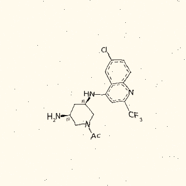 CC(=O)N1C[C@@H](N)C[C@@H](Nc2cc(C(F)(F)F)nc3ccc(Cl)cc23)C1